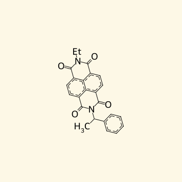 CCN1C(=O)c2ccc3c4c(ccc(c24)C1=O)C(=O)N(C(C)c1ccccc1)C3=O